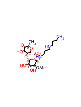 CO[C@H]1[C@H](O)[C@@H](O)[C@@H](OC2[C@@H](CO)O[C@H](C)[C@H](O)[C@H]2O)O[C@@H]1CNCCCNCCCN